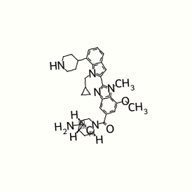 COc1cc(C(=O)N2C[C@H]3CC[C@@H]2C[C@@H]3N)cc2nc(-c3cc4cccc(C5CCNCC5)c4n3CC3CC3)n(C)c12